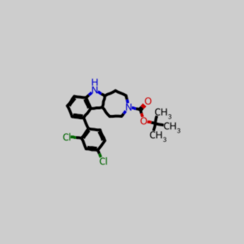 CC(C)(C)OC(=O)N1CCC2Nc3cccc(-c4ccc(Cl)cc4Cl)c3C2CC1